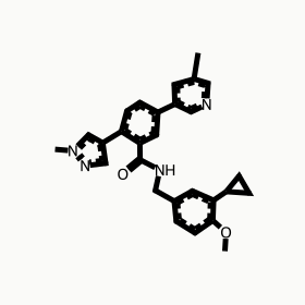 COc1ccc(CNC(=O)c2cc(-c3cncc(C)c3)ccc2-c2cnn(C)c2)cc1C1CC1